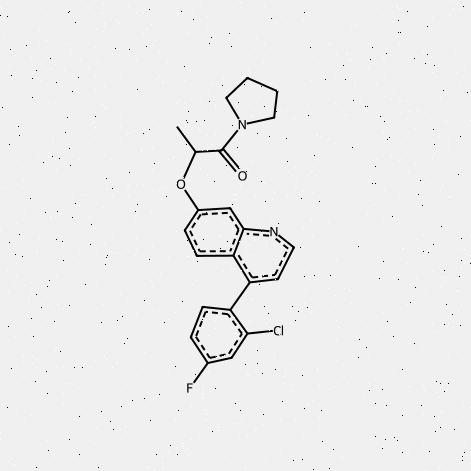 CC(Oc1ccc2c(-c3ccc(F)cc3Cl)ccnc2c1)C(=O)N1CCCC1